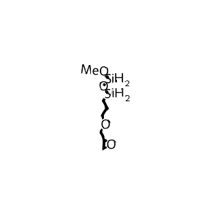 CO[SiH2]O[SiH2]CCCOCC1CO1